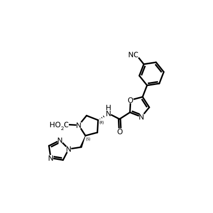 N#Cc1cccc(-c2cnc(C(=O)N[C@@H]3C[C@@H](Cn4cncn4)N(C(=O)O)C3)o2)c1